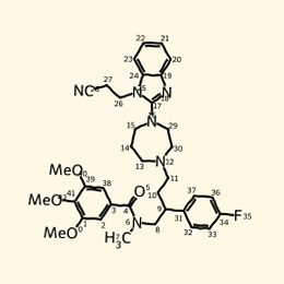 COc1cc(C(=O)N(C)CC(CCN2CCCN(c3nc4ccccc4n3CCC#N)CC2)c2ccc(F)cc2)cc(OC)c1OC